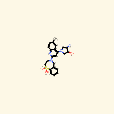 Cc1ccc2nc(N3CCS(O)(O)c4ccccc4C3)cc(N3CC(N)C(O)C3)c2c1